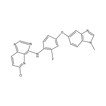 Cn1cnc2cc(Oc3ccc(Nc4ncnc5ccc(Cl)nc45)c(F)c3)ccc21